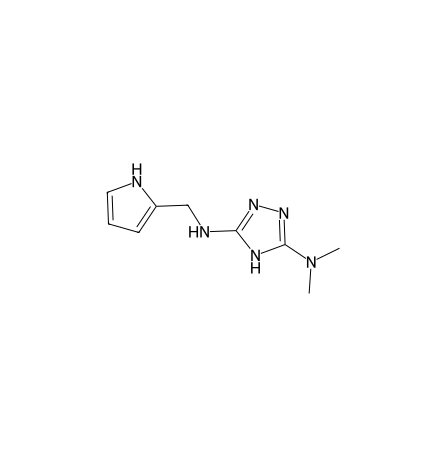 CN(C)c1nnc(NCc2ccc[nH]2)[nH]1